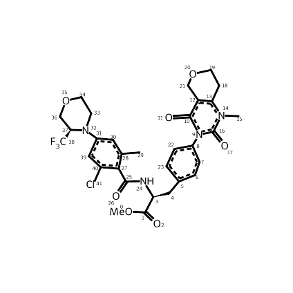 COC(=O)[C@H](Cc1ccc(-n2c(=O)c3c(n(C)c2=O)CCOC3)cc1)NC(=O)c1c(C)cc(N2CCOC[C@@H]2C(F)(F)F)cc1Cl